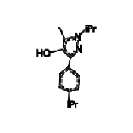 Cc1c(O)c(-c2ccc(C(C)C)cc2)nn1C(C)C